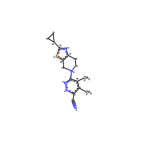 Cc1c(C#N)nnc(N2CCc3nc(C4CC4)sc3C2)c1C